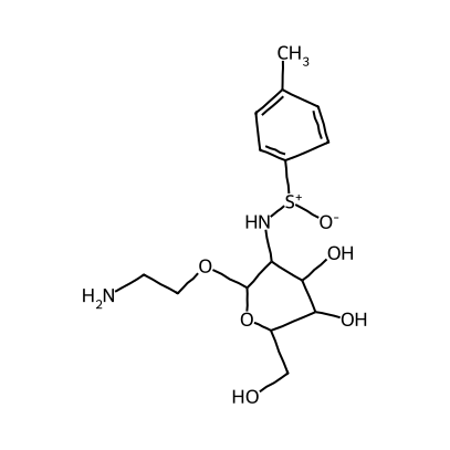 Cc1ccc([S+]([O-])NC2C(OCCN)OC(CO)C(O)C2O)cc1